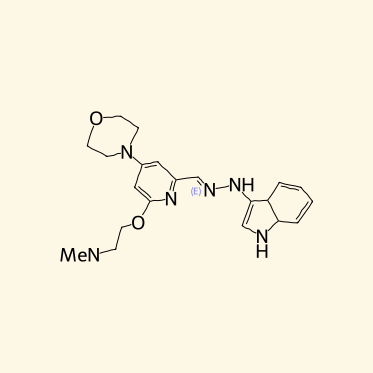 CNCCOc1cc(N2CCOCC2)cc(/C=N/NC2=CNC3C=CC=CC23)n1